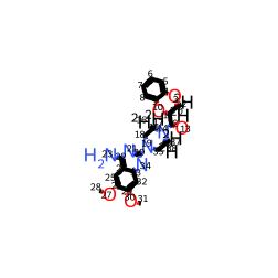 [2H]C1([2H])Oc2ccccc2OC1C(=O)N1C([2H])([2H])CN(c2nc(N)c3cc(OC)c(OC)cc3n2)CC1([2H])[2H]